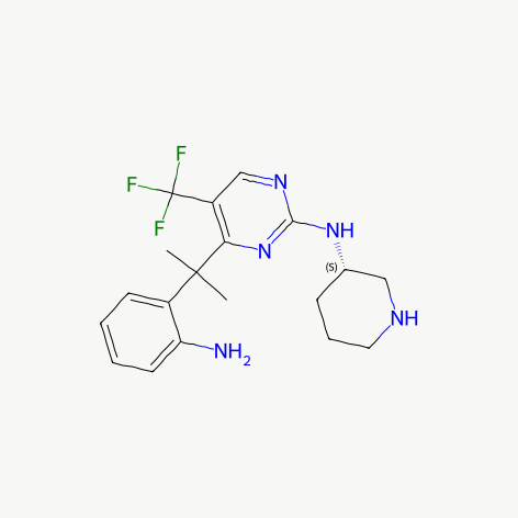 CC(C)(c1ccccc1N)c1nc(N[C@H]2CCCNC2)ncc1C(F)(F)F